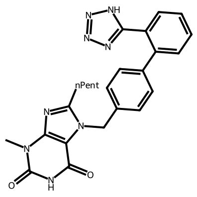 CCCCCc1nc2c(c(=O)[nH]c(=O)n2C)n1Cc1ccc(-c2ccccc2-c2nnn[nH]2)cc1